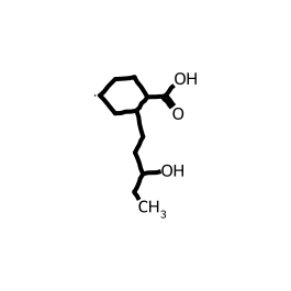 CCC(O)CCC1C[CH]CCC1C(=O)O